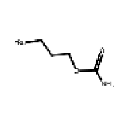 CC(C)(C)CCCOC(N)=O